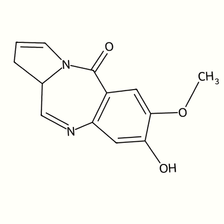 COc1cc2c(cc1O)N=CC1CC=CN1C2=O